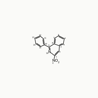 O=[N+]([O-])c1cc2ccccc2c(-c2ccccc2)n1